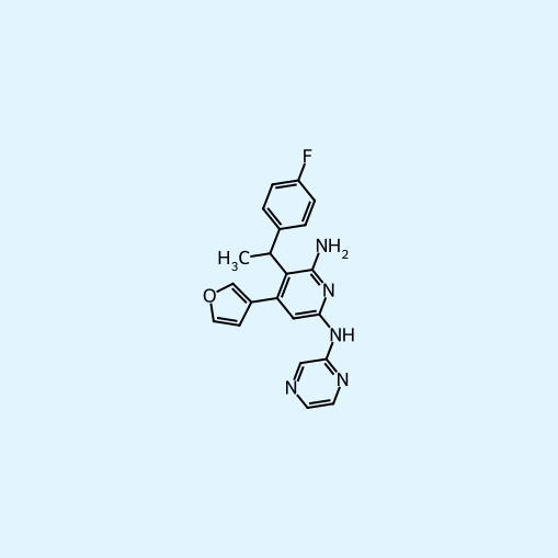 CC(c1ccc(F)cc1)c1c(-c2ccoc2)cc(Nc2cnccn2)nc1N